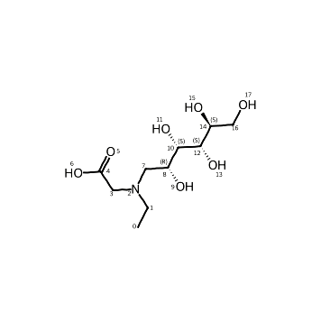 CCN(CC(=O)O)C[C@@H](O)[C@H](O)[C@@H](O)[C@@H](O)CO